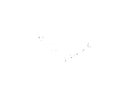 [Bi+3].[Mo+6].[O-2].[O-2].[O-2].[O-2].[O-2].[O-2].[O-2].[V+5]